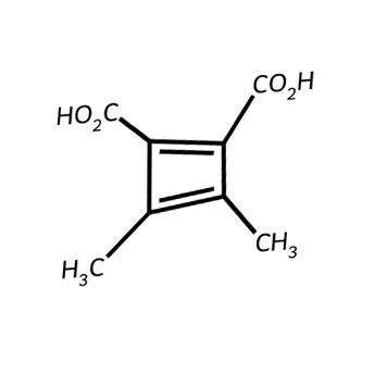 CC1=C(C)C(C(=O)O)=C1C(=O)O